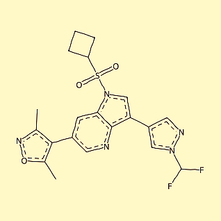 Cc1noc(C)c1-c1cnc2c(-c3cnn(C(F)F)c3)cn(S(=O)(=O)C3CCC3)c2c1